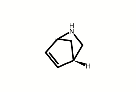 C1=C[C@H]2CN[C]1C2